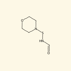 O=CNSN1CCOCC1